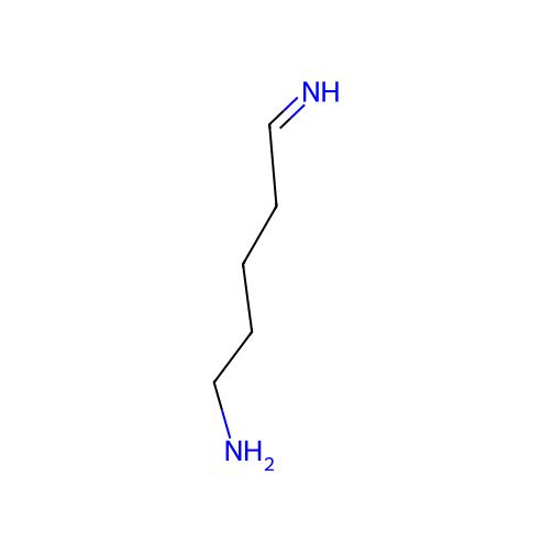 N=CCCCCN